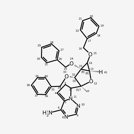 C[C@@]1(C2CC=C3C(N)=NC=NN32)O[C@@H]2C(OCc3ccccc3)[C@]2(OCc2ccccc2)[C@H]1OCc1ccccc1